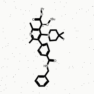 Cc1nc(C)c([C@H](OC(C)(C)C)C(=O)OC(C)C)c(N2CCC(C)(F)CC2)c1-c1ccc(C(=O)NCc2ccccc2)cc1